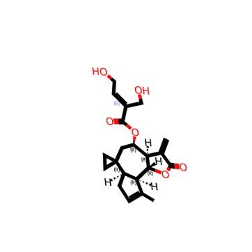 C=C1C(=O)O[C@@H]2[C@H]3C(C)=CC[C@H]3C3(CC3)C[C@@H](OC(=O)/C(=C/CO)CO)[C@@H]12